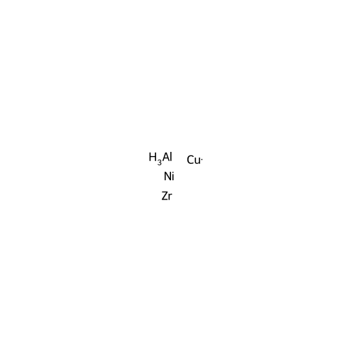 [AlH3].[Cu].[Ni].[Zr]